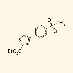 CCOC(=O)c1cc(-c2ccc(S(C)(=O)=O)cc2)cs1